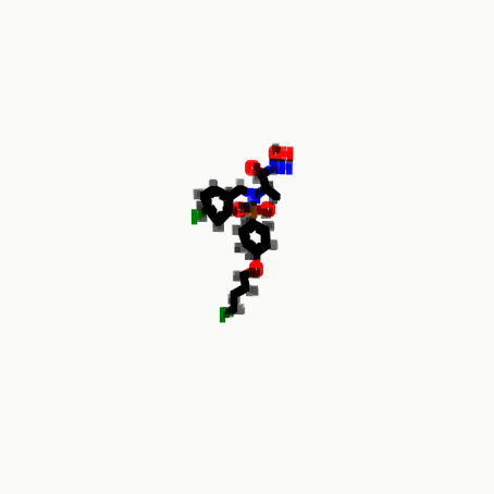 CC(C(=O)NO)N(Cc1ccc(F)cc1)S(=O)(=O)c1ccc(OCCCCF)cc1